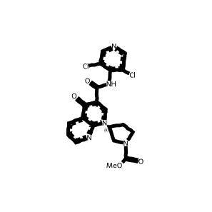 COC(=O)N1CC[C@@H](n2cc(C(=O)Nc3c(Cl)cncc3Cl)c(=O)c3cccnc32)C1